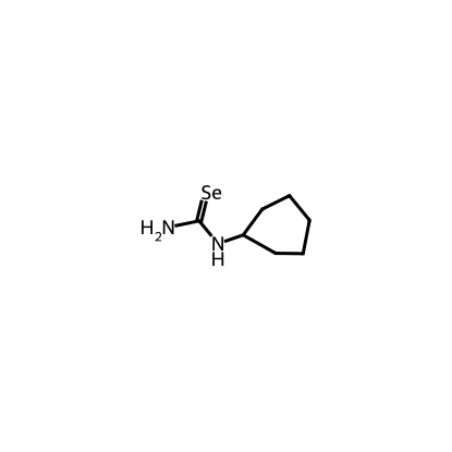 NC(=[Se])NC1CCCCC1